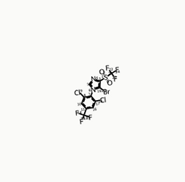 O=S(=O)(c1ncn(-c2c(Cl)cc(C(F)(F)F)cc2Cl)c1Br)C(F)(F)F